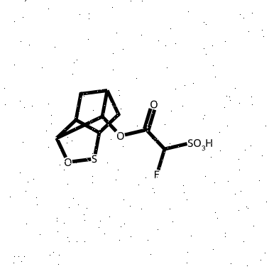 O=C(OC1C2CC3SOC1C3C2)C(F)S(=O)(=O)O